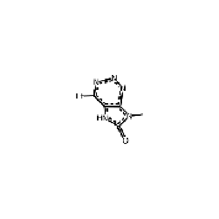 CCc1nnnc2c1[nH]c(=O)n2C